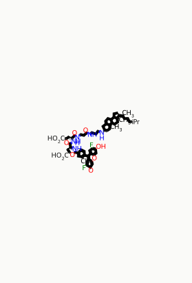 Cc1cc(C(=O)N[C@@H](CCC(=O)O)C(=O)N[C@@H](CCC(=O)O)C(=O)NCCC(=O)NCCCN[C@H]2CC[C@@]3(C)C(=CCC4C3CC[C@@]3(C)C4CC[C@@H]3[C@H](C)CCCC(C)C)C2)ccc1-c1c2cc(F)c(=O)cc-2oc2cc(O)c(F)cc12